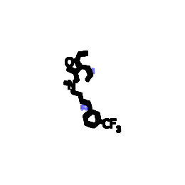 C=Cc1occ(CN(C)CC/C=C/c2cccc(C(F)(F)F)c2)c1/C=C\C